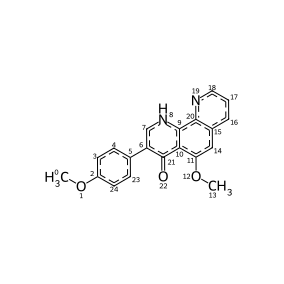 COc1ccc(-c2c[nH]c3c(c(OC)cc4cccnc43)c2=O)cc1